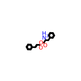 N[C@@H](Cc1ccccc1)C(=O)OC(=O)/C=C/c1ccccc1